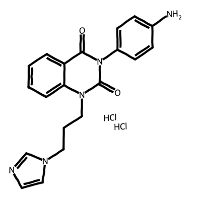 Cl.Cl.Nc1ccc(-n2c(=O)c3ccccc3n(CCCn3ccnc3)c2=O)cc1